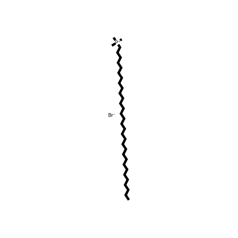 CCCCCCCCCCCCCCCCCCCCCCCCCCCCCCC[P+](C)(C)C.[Br-]